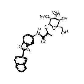 CC(O[C@@H]1O[C@H](CO)[C@H](O)[C@H](O)[C@H]1O)C(=O)Nc1ccc2oc(-c3ccc4ccccc4c3)nc2c1